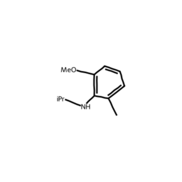 COc1cccc(C)c1NC(C)C